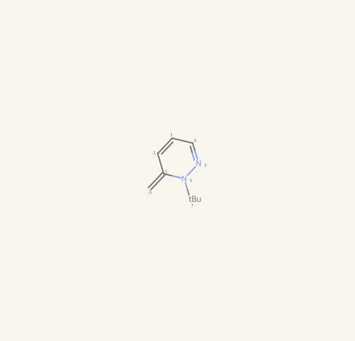 C=C1C=CC=NN1C(C)(C)C